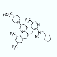 CCN(CC1CCCC1)c1ncc(C(F)(F)F)cc1CN(Cc1cc(C(F)(F)F)cc(C(F)(F)F)c1)c1ncc(N2CCC(C(=O)O)CC2)cn1